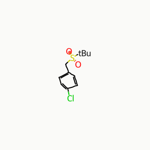 CC(C)(C)S(=O)(=O)Cc1ccc(Cl)cc1